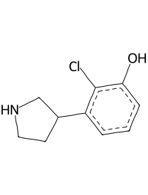 Oc1cccc(C2CCNC2)c1Cl